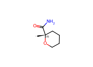 [CH2][C@@]1(C(N)=O)CCCCO1